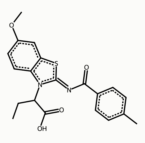 CCC(C(=O)O)n1c(=NC(=O)c2ccc(C)cc2)sc2cc(OC)ccc21